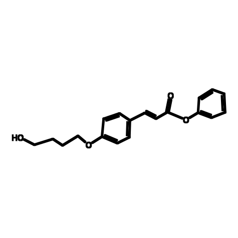 O=C(/C=C/c1ccc(OCCCCO)cc1)Oc1ccccc1